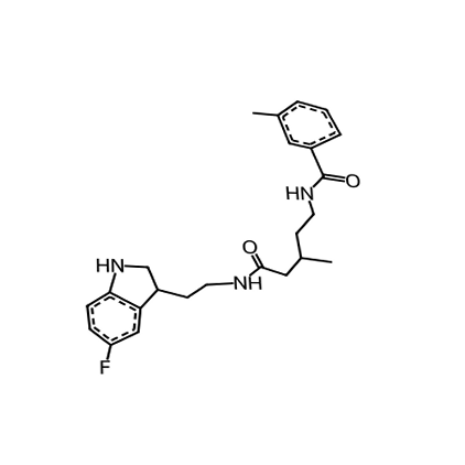 Cc1cccc(C(=O)NCCC(C)CC(=O)NCCC2CNc3ccc(F)cc32)c1